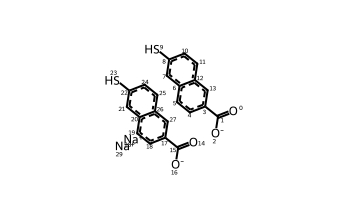 O=C([O-])c1ccc2cc(S)ccc2c1.O=C([O-])c1ccc2cc(S)ccc2c1.[Na+].[Na+]